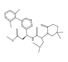 COC(=O)C[C@H](NC(=O)C(CC(C)C)N1CC(C)(C)CCC1=O)c1cncc(-c2c(C)cccc2C)c1